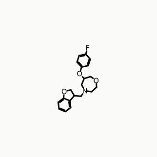 Fc1ccc(OC2COCCN(CC3COc4ccccc43)C2)cc1